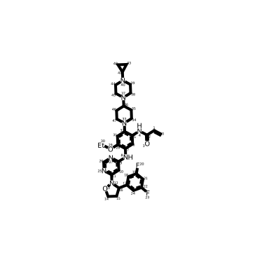 C=CC(=O)Nc1cc(Nc2cc(N3OCCC3c3cc(F)cc(F)c3)ncn2)c(OCC)cc1N1CCC(N2CCN(C3CC3)CC2)CC1